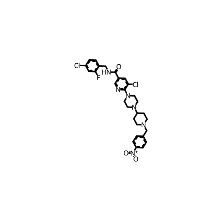 O=C(NCc1ccc(Cl)cc1F)c1cnc(N2CCN(C3CCN(Cc4ccc([N+](=O)[O-])cc4)CC3)CC2)c(Cl)c1